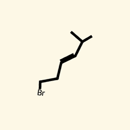 CC(C)C=CCCBr